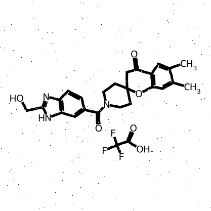 Cc1cc2c(cc1C)C(=O)CC1(CCN(C(=O)c3ccc4nc(CO)[nH]c4c3)CC1)O2.O=C(O)C(F)(F)F